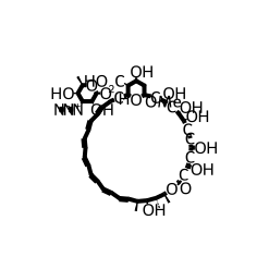 CO[C@]12C[C@@H](O)C[C@@H](O)[C@H](O)CCC(O)CC(O)CC(=O)O[C@@H](C)[C@H](C)[C@H](O)[C@@H](C)/C=C/C=C/C=C/C=C/C=C/C=C/C=C/C(O[C@@H]3O[C@H](C)[C@@H](O)[C@H](N=[N+]=[N-])[C@H]3O)C[C@H](O1)[C@H](C(=O)O)[C@@H](O)C2